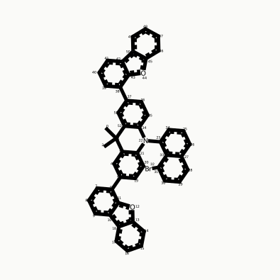 CC1(C)c2cc(-c3cccc4c3oc3ccccc34)ccc2N(c2cccc3cccc(Br)c23)c2ccc(-c3cccc4c3oc3ccccc34)cc21